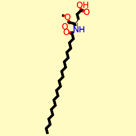 CCCCCCCCCCCCCCCCCCCCCC(=O)N[C@@H](CCC(=O)O)C(=O)OC